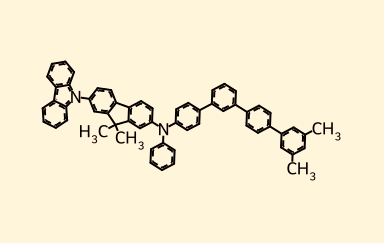 Cc1cc(C)cc(-c2ccc(-c3cccc(-c4ccc(N(c5ccccc5)c5ccc6c(c5)C(C)(C)c5cc(-n7c8ccccc8c8ccccc87)ccc5-6)cc4)c3)cc2)c1